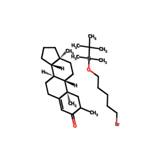 CC(C)(C)[Si](C)(C)OCCCCCBr.CC1C[C@@]2(C)C(=CC1=O)CC[C@H]1[C@@H]3CCC[C@@]3(C)CC[C@@H]12